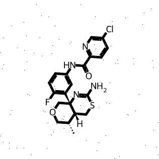 C[C@@H]1COC[C@]2(c3cc(NC(=O)c4ccc(Cl)cn4)ccc3F)N=C(N)SC[C@H]12